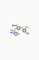 COc1cc(Oc2ccc(C#N)cc2C(F)(F)F)ccc1CC1C(=O)Nc2ccc(F)cc21